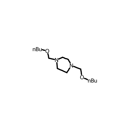 CCCCOCN1CCN(COCCCC)CC1